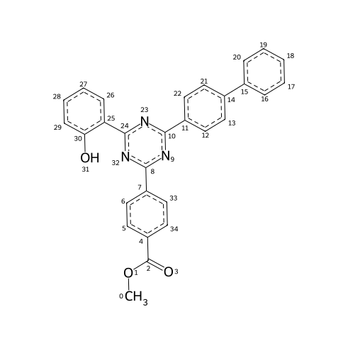 COC(=O)c1ccc(-c2nc(-c3ccc(-c4ccccc4)cc3)nc(-c3ccccc3O)n2)cc1